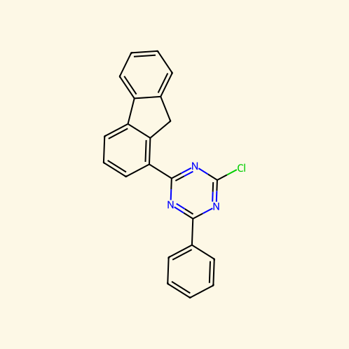 Clc1nc(-c2ccccc2)nc(-c2cccc3c2Cc2ccccc2-3)n1